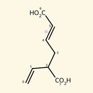 C=CC(C/C=C/C(=O)O)C(=O)O